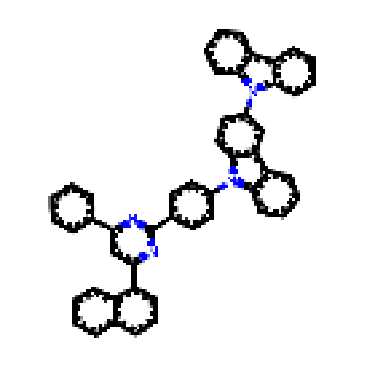 c1ccc(-c2cc(-c3cccc4ccccc34)nc(-c3ccc(-n4c5ccccc5c5cc(-n6c7ccccc7c7ccccc76)ccc54)cc3)n2)cc1